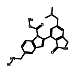 CCNCc1ccc2c(c1)cc(-c1cc(CN(C)C)cc3c1C(=O)NC3)n2C(=O)OC(C)(C)C